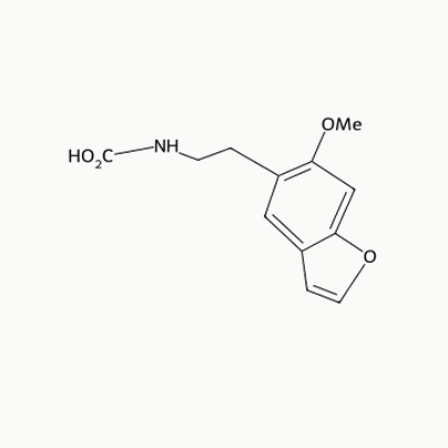 COc1cc2occc2cc1CCNC(=O)O